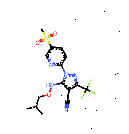 CC(C)CONc1c(C#N)c(C(F)(F)F)nn1-c1ccc(S(C)(=O)=O)cn1